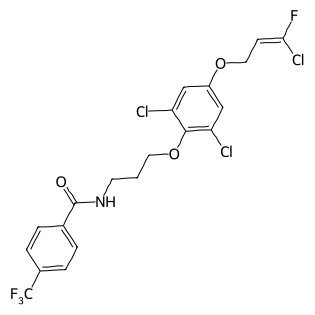 O=C(NCCCOc1c(Cl)cc(OC/C=C(/F)Cl)cc1Cl)c1ccc(C(F)(F)F)cc1